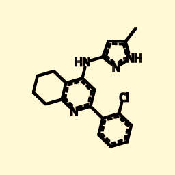 Cc1cc(Nc2cc(-c3ccccc3Cl)nc3c2CCCC3)n[nH]1